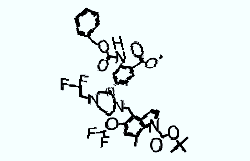 COC(=O)c1ccc([C@H]2CN(CC(F)F)CCN2Cc2c(OC(F)F)cc(C)c3c2ccn3C(=O)OC(C)(C)C)cc1NC(=O)OCc1ccccc1